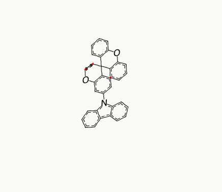 c1ccc2c(c1)Oc1ccccc1C21c2ccccc2Oc2cc(-n3c4ccccc4c4ccccc43)ccc21